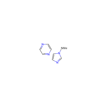 CNn1ccnc1.c1cnccn1